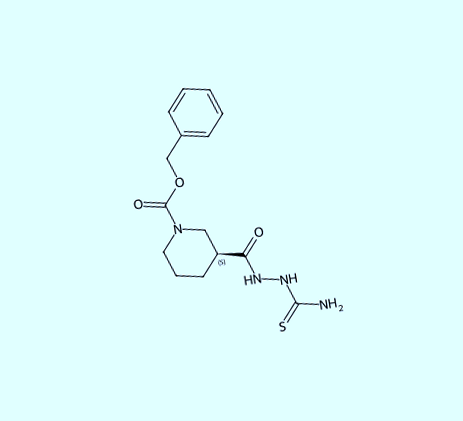 NC(=S)NNC(=O)[C@H]1CCCN(C(=O)OCc2ccccc2)C1